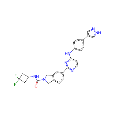 O=C(NC1CC(F)(F)C1)N1Cc2ccc(-c3nccc(Nc4ccc(-c5cn[nH]c5)cc4)n3)cc2C1